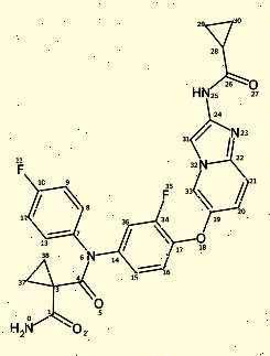 NC(=O)C1(C(=O)N(c2ccc(F)cc2)c2ccc(Oc3ccc4nc(NC(=O)C5CC5)cn4c3)c(F)c2)CC1